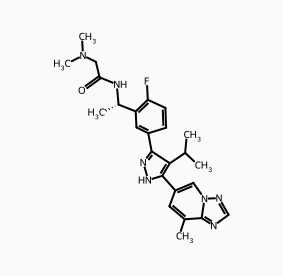 Cc1cc(-c2[nH]nc(-c3ccc(F)c([C@H](C)NC(=O)CN(C)C)c3)c2C(C)C)cn2ncnc12